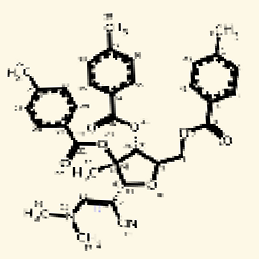 Cc1ccc(C(=O)OCC2O[C@H](/C(C#N)=C/N(C)C)[C@](C)(OC(=O)c3ccc(C)cc3)[C@@H]2OC(=O)c2ccc(C)cc2)cc1